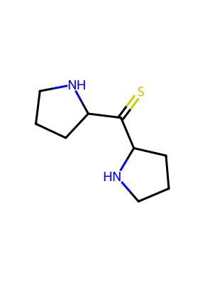 S=C(C1CCCN1)C1CCCN1